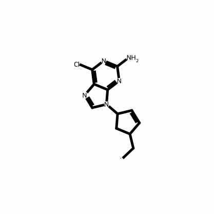 [CH2]CC1C=CC(n2cnc3c(Cl)nc(N)nc32)C1